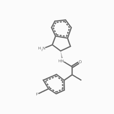 CC(C(=O)N[C@H]1Cc2ccccc2C1N)c1ccc(F)cc1